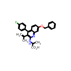 C=C(C)c1c(NC(C)C(=O)O)nc2cc(OCc3ccccc3)ccc2c1-c1ccc(F)cc1